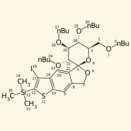 CCCCOC[C@H]1O[C@]2(OCc3cc4sc([Si](C)(C)C)c(I)c4cc32)[C@H](OCCCC)[C@@H](OCCCC)[C@@H]1OCCCC